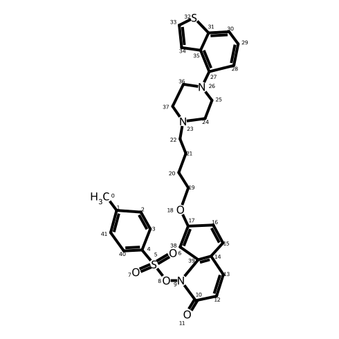 Cc1ccc(S(=O)(=O)On2c(=O)ccc3ccc(OCCCCN4CCN(c5cccc6sccc56)CC4)cc32)cc1